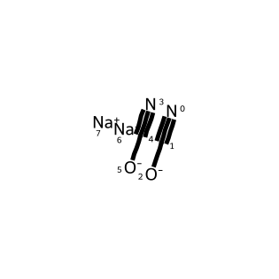 N#C[O-].N#C[O-].[Na+].[Na+]